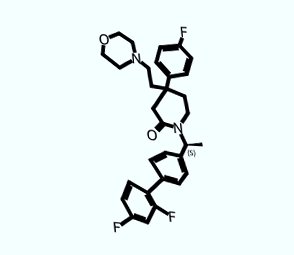 C[C@@H](c1ccc(-c2ccc(F)cc2F)cc1)N1CCC(CCN2CCOCC2)(c2ccc(F)cc2)CC1=O